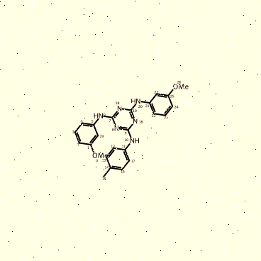 COc1cccc(Nc2nc(Nc3ccc(C)cc3)nc(Nc3cccc(OC)c3)n2)c1